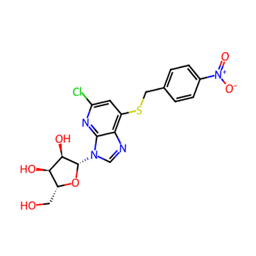 O=[N+]([O-])c1ccc(CSc2cc(Cl)nc3c2ncn3[C@@H]2O[C@H](CO)[C@@H](O)[C@H]2O)cc1